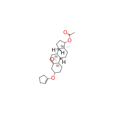 CC(=O)OC1CC[C@H]2[C@@H]3CC=C4CC(OC5=CCCC5)CC[C@]4(C=O)[C@@H]3CC[C@]12C